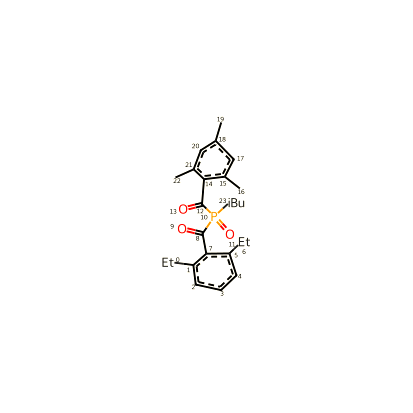 CCc1cccc(CC)c1C(=O)P(=O)(C(=O)c1c(C)cc(C)cc1C)C(C)CC